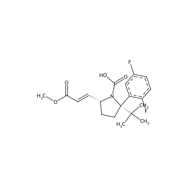 COC(=O)C=C[C@H]1CC[C@@](c2cc(F)ccc2F)(C(C)(C)C)N1C(=O)O